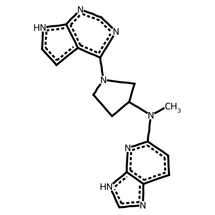 CN(c1ccc2nc[nH]c2n1)C1CCN(c2ncnc3[nH]ccc23)C1